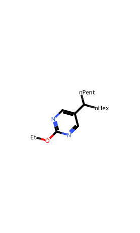 CCCCCCC(CCCCC)c1cnc(OCC)nc1